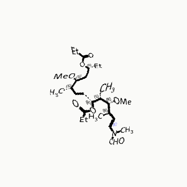 CCC(=O)O[C@H](CC)C[C@H](OC)[C@@H](C)CC[C@@H](OC(=O)CC)[C@H](C)[C@H](OC)[C@H](C)/C=C/N(C)C=O